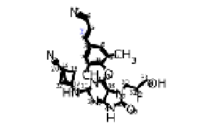 Cc1cc(/C=C/C#N)cc(C)c1Oc1nc(NC23CC(C#N)(C2)C3)nc2[nH]c(=O)n(CC(F)CO)c12